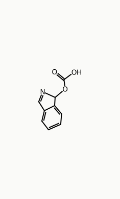 O=C(O)OC1N=Cc2ccccc21